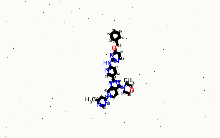 Cc1cc(N2CCc3c(nc(-c4ccc(Nc5nccc(OCc6ccccc6)n5)nc4)nc3N3CCOCC3C)C2)ncn1